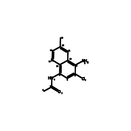 CC(=O)Nc1cc(Cl)c(N)c2cc(C)cnc12